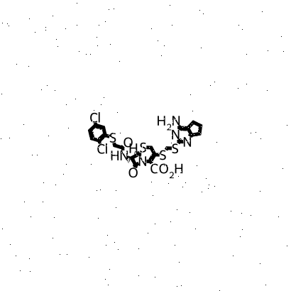 Nc1nc(SCSC2=C(C(=O)O)N3C(=O)[C@@H](NC(=O)CSc4cc(Cl)ccc4Cl)[C@H]3SC2)nc2c1CCC2